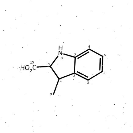 CC1c2ccccc2NC1C(=O)O